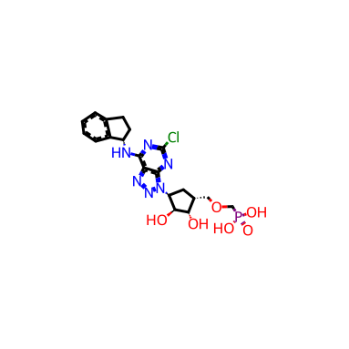 O=P(O)(O)COC[C@H]1C[C@@H](n2nnc3c(N[C@H]4CCc5ccccc54)nc(Cl)nc32)[C@H](O)[C@H]1O